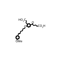 COc1ccc(C=CCCCCOc2ccc(C(=O)CCCC(=O)O)cc2CCC(=O)O)cc1